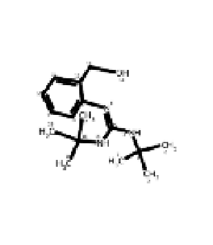 CC(C)(C)NC(=Nc1ccccc1CO)NC(C)(C)C